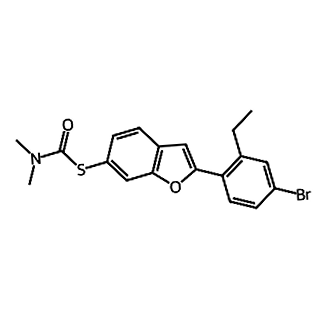 CCc1cc(Br)ccc1-c1cc2ccc(SC(=O)N(C)C)cc2o1